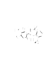 CCCOC(=O)c1cccc(C2CC2)c1COc1cc(C)c(C)cc1C